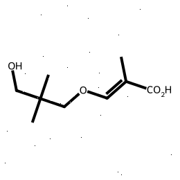 CC(=COCC(C)(C)CO)C(=O)O